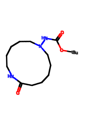 CC(C)(C)OC(=O)NN1CCCCCNC(=O)CCCCC1